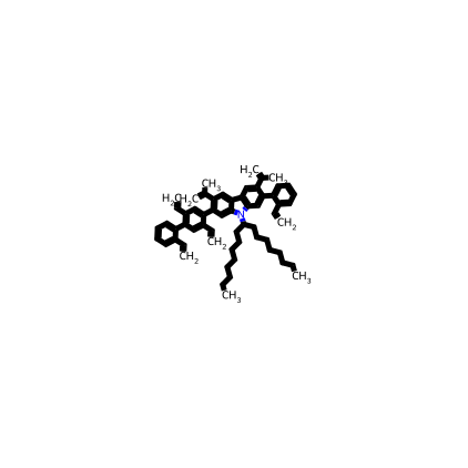 C=Cc1ccccc1-c1cc(C=C)c(-c2cc3c(cc2C(=C)C)c2cc(C(=C)C)c(-c4ccccc4C=C)cc2n3C(CCCCCCCC)CCCCCCCC)cc1C=C